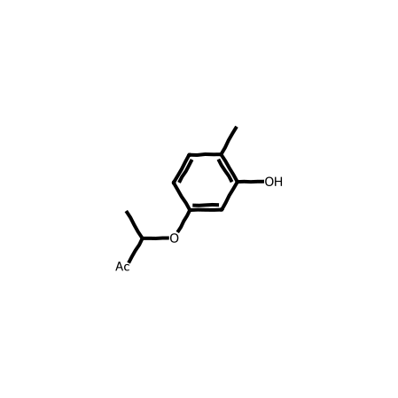 CC(=O)C(C)Oc1ccc(C)c(O)c1